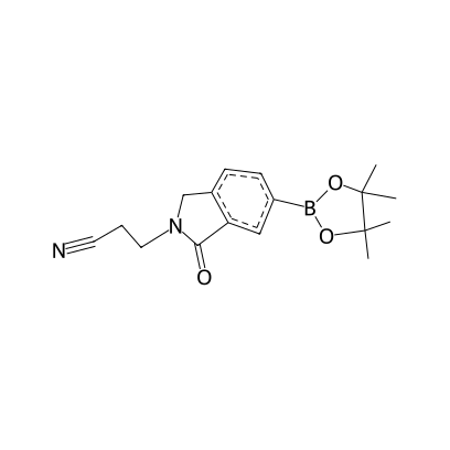 CC1(C)OB(c2ccc3c(c2)C(=O)N(CCC#N)C3)OC1(C)C